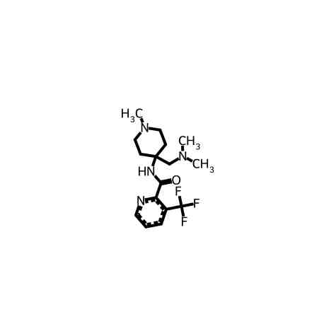 CN(C)CC1(NC(=O)c2ncccc2C(F)(F)F)CCN(C)CC1